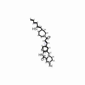 C=C/C=C/C(S)=C/C1CCCN(C(=O)/C=C/c2cnc3c(c2)CN2CCN(C(C)=O)CC2C(=O)N3)CC1